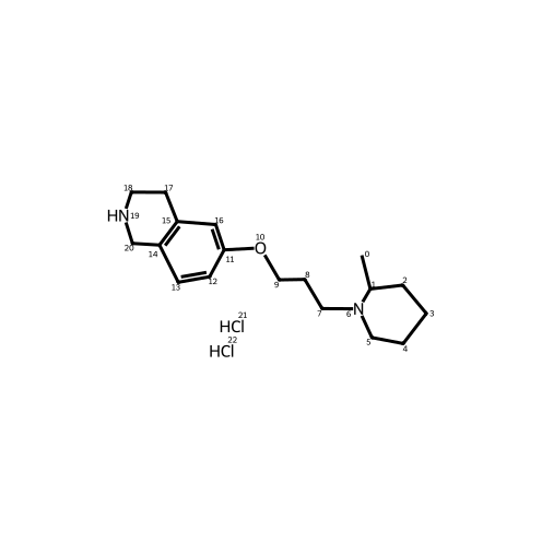 CC1CCCCN1CCCOc1ccc2c(c1)CCNC2.Cl.Cl